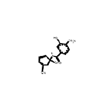 O=C(NC1(O)C=CC=C(O)C1)c1ccc(C(=O)O)c(O)c1